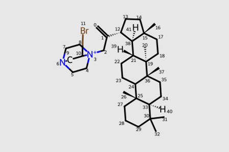 C=C(C[N+]12CCN(CC1)CC2Br)[C@@H]1CC[C@]2(C)CC[C@]3(C)[C@H](CCC4[C@@]5(C)CCCC(C)(C)[C@@H]5CC[C@]43C)[C@@H]12